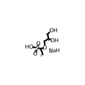 CC(OCC(O)CO)S(=O)(=O)O.[NaH]